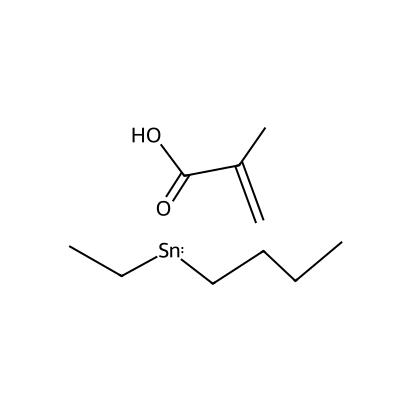 C=C(C)C(=O)O.CCC[CH2][Sn][CH2]C